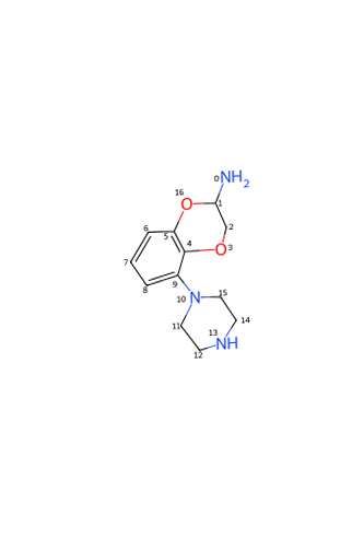 NC1COc2c(cccc2N2CCNCC2)O1